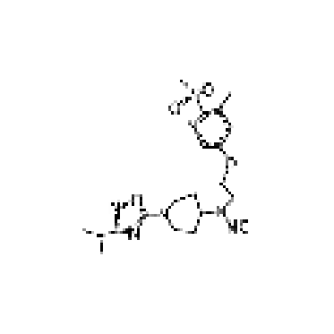 Cc1cc(OCCN(C)C2CCN(c3nc(C(C)C)no3)CC2)cnc1S(C)(=O)=O.Cl